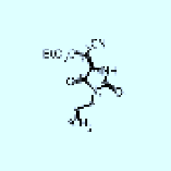 C=CCN1C(=O)NC(=C(C#N)C(=O)OCC)C1=O